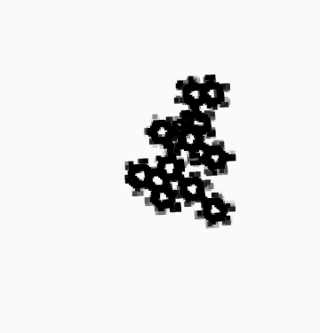 CC12CC=CC=C1N(C1Cc3c(c4ccccc4c4c#cccc34)C(c3ccc(-c4ccccc4)cc3)=N1)c1c2c2cc(-c3cccc4ccccc34)ccc2c2c1oc1ccccc12